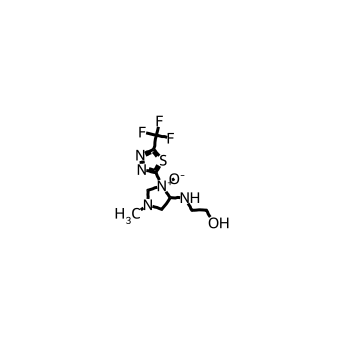 CN1CC(NCCO)[N+]([O-])(c2nnc(C(F)(F)F)s2)C1